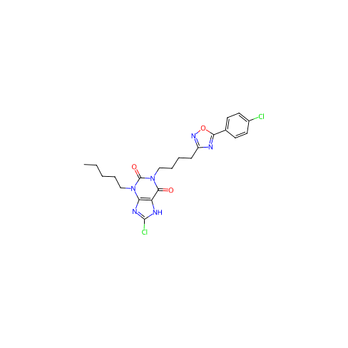 CCCCCn1c(=O)n(CCCCc2noc(-c3ccc(Cl)cc3)n2)c(=O)c2[nH]c(Cl)nc21